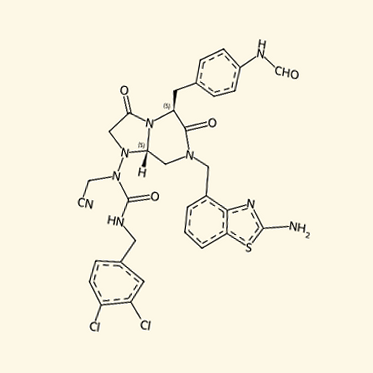 N#CCN(C(=O)NCc1ccc(Cl)c(Cl)c1)N1CC(=O)N2[C@@H](Cc3ccc(NC=O)cc3)C(=O)N(Cc3cccc4sc(N)nc34)C[C@@H]21